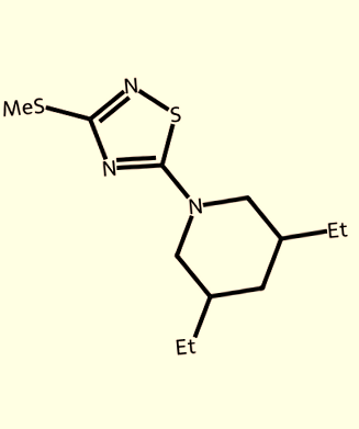 CCC1CC(CC)CN(c2nc(SC)ns2)C1